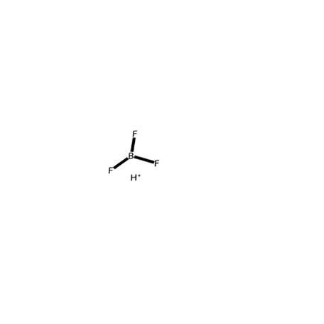 FB(F)F.[H+]